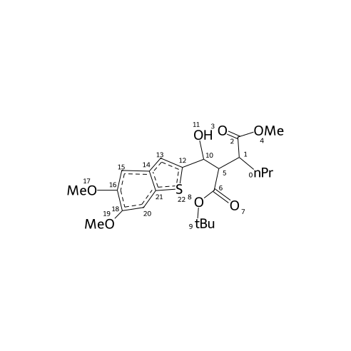 CCCC(C(=O)OC)C(C(=O)OC(C)(C)C)C(O)c1cc2cc(OC)c(OC)cc2s1